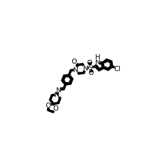 O=C1CN(S(=O)(=O)c2cc3cc(Cl)ccc3[nH]2)CCN1Cc1ccc(C=NN2CCC3(CC2)OCCO3)cc1